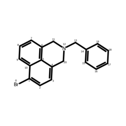 Brc1ccc2c3c(cccc13)CN(Cc1ccccc1)C2